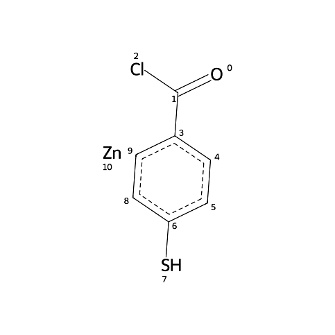 O=C(Cl)c1ccc(S)cc1.[Zn]